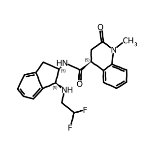 CN1C(=O)C[C@H](C(=O)N[C@H]2Cc3ccccc3[C@@H]2NCC(F)F)c2ccccc21